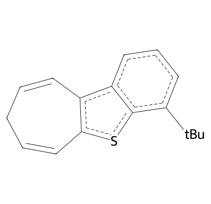 CC(C)(C)c1cccc2c3c(sc12)C=CCC=C3